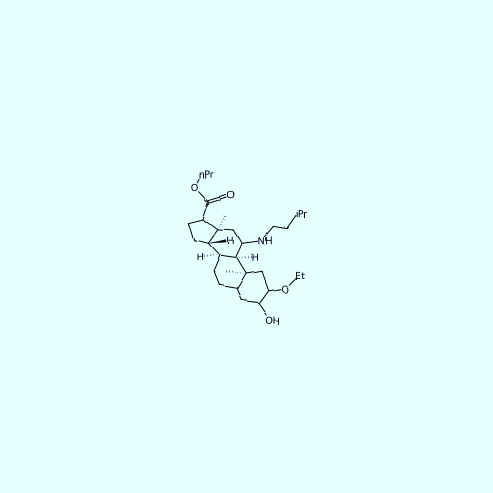 CCCOC(=O)C1CC[C@H]2[C@@H]3CCC4CC(O)C(OCC)C[C@]4(C)[C@@H]3C(NCCC(C)C)C[C@]12C